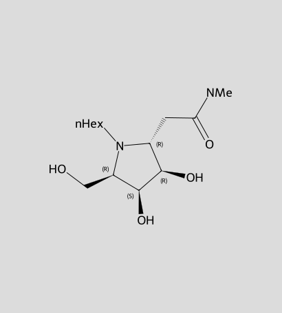 CCCCCCN1[C@H](CO)[C@H](O)[C@H](O)[C@H]1CC(=O)NC